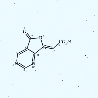 O=C(O)C=C1OC(=O)c2cncnc21